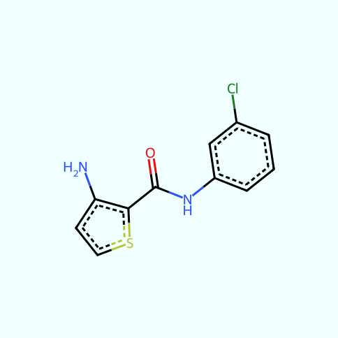 Nc1ccsc1C(=O)Nc1cccc(Cl)c1